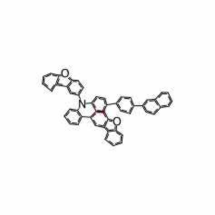 c1ccc(N(c2ccc(-c3ccc(-c4ccc5ccccc5c4)cc3)cc2)c2ccc3oc4ccccc4c3c2)c(-c2ccc3oc4ccccc4c3c2)c1